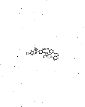 CCc1nnc(NS(=O)(=O)c2ccc(NC(=S)N3CCN(c4ncnc5scc(-c6ccc(OC)cc6)c45)CC3)cc2)s1